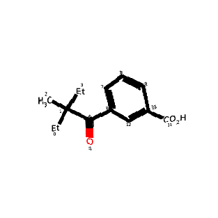 CCC(C)(CC)C(=O)c1cccc(C(=O)O)c1